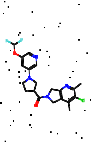 Cc1nc2c(c(C)c1Cl)CN(C(=O)C1CCN(c3cncc(OC(F)F)c3)C1)C2